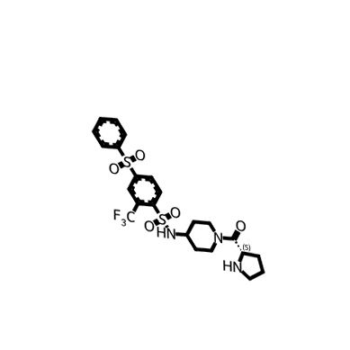 O=C([C@@H]1CCCN1)N1CCC(NS(=O)(=O)c2ccc(S(=O)(=O)c3ccccc3)cc2C(F)(F)F)CC1